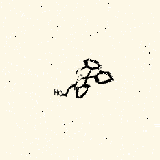 OCCCOC(c1ccccc1F)(c1ccccc1F)c1ccccc1F